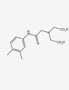 Cc1ccc(NC(=O)CN(CC(=O)O)CC(=O)O)cc1C